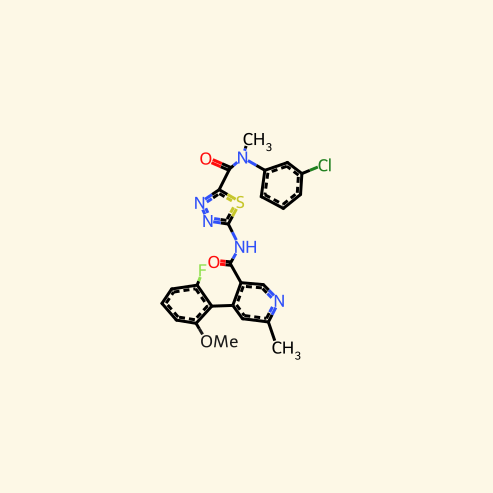 COc1cccc(F)c1-c1cc(C)ncc1C(=O)Nc1nnc(C(=O)N(C)c2cccc(Cl)c2)s1